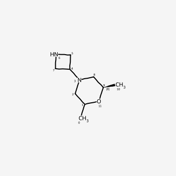 CC1CN(C2CNC2)C[C@@H](C)O1